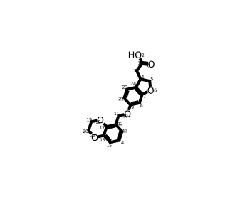 O=C(O)CC1COc2cc(OCc3cccc4c3OCCO4)ccc21